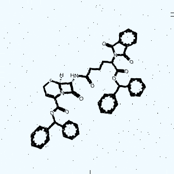 O=C(CCCC(C(=O)OC(c1ccccc1)c1ccccc1)N1C(=O)c2ccccc2C1=O)N[C@@H]1C(=O)N2C(C(=O)OC(c3ccccc3)c3ccccc3)=CCS[C@@H]12